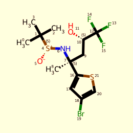 CC(C)(C)[S@@+]([O-])N[C@@](C)(C[C@H](O)C(F)(F)F)c1cc(Br)cs1